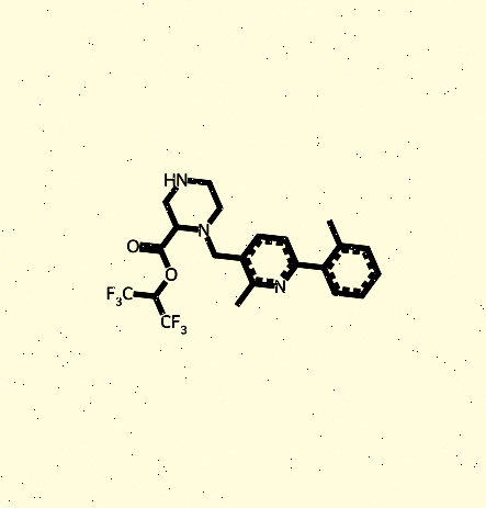 Cc1ccccc1-c1ccc(CN2CCNCC2C(=O)OC(C(F)(F)F)C(F)(F)F)c(C)n1